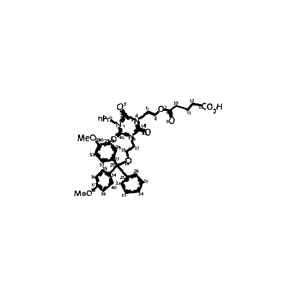 CCCn1c(=O)n(CCOC(=O)CCCC(=O)O)c(=O)n(CCOC(c2ccccc2)(c2ccc(OC)cc2)c2ccc(OC)cc2)c1=O